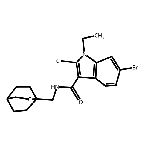 CCn1c(Cl)c(C(=O)NCC23CCC(CC2)CC3)c2ccc(Br)cc21